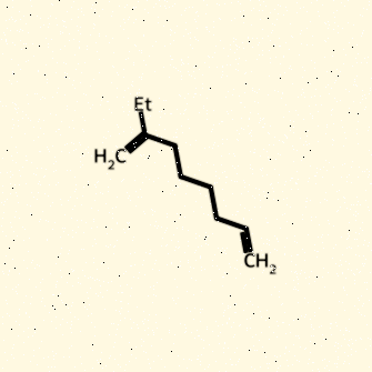 C=CCCCCC(=C)CC